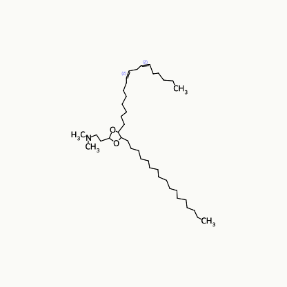 CCCCC/C=C\C/C=C\CCCCCCCC1OC(CCN(C)C)OC1CCCCCCCCCCCCCCCCC